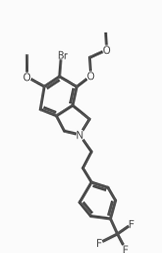 COCOc1c(Br)c(OC)cc2c1CN(CCc1ccc(C(F)(F)F)cc1)C2